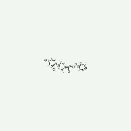 CC1CN(c2ccc(F)cc2Cl)CCN1C(=O)COCc1ccncc1